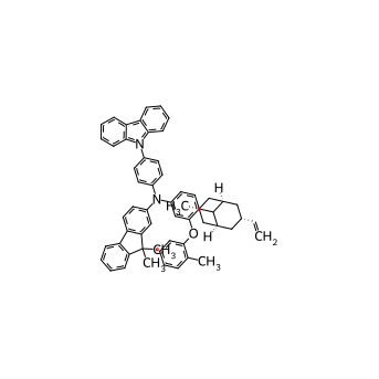 C=C[C@@H]1C[C@H]2C[C@H](C)C[C@@H](C1)C2c1ccc(N(c2ccc(-n3c4ccccc4c4ccccc43)cc2)c2ccc3c(c2)C(C)(C)c2ccccc2-3)cc1Oc1ccccc1C